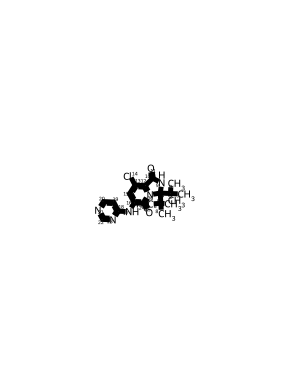 CC(C)(C)C1(C(C)(C)C)NC(=O)c2c(Cl)cc(Nc3ccncn3)c(=O)n21